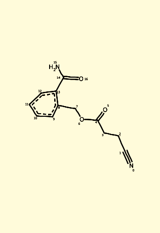 N#C[CH]CC(=O)OCc1ccccc1C(N)=O